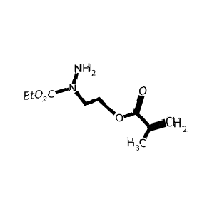 C=C(C)C(=O)OCCN(N)C(=O)OCC